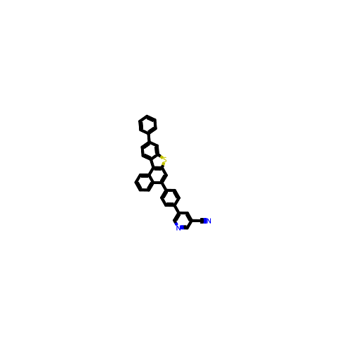 N#Cc1cncc(-c2ccc(-c3cc4sc5cc(-c6ccccc6)ccc5c4c4ccccc34)cc2)c1